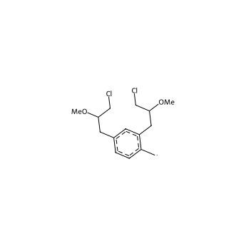 [CH2]c1ccc(CC(CCl)OC)cc1CC(CCl)OC